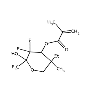 C=C(C)C(=O)OC1C(C)(CC)COC(O)(C(F)(F)F)C1(F)F